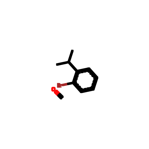 C=O.CC(C)c1ccccc1Br